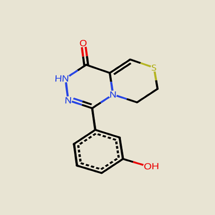 O=C1NN=C(c2cccc(O)c2)N2CCSC=C12